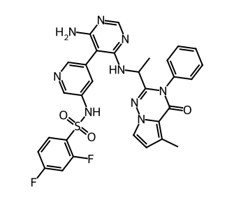 Cc1ccn2nc(C(C)Nc3ncnc(N)c3-c3cncc(NS(=O)(=O)c4ccc(F)cc4F)c3)n(-c3ccccc3)c(=O)c12